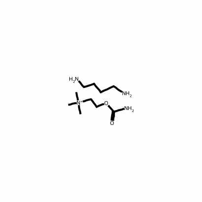 C[N+](C)(C)CCOC(N)=O.NCCCCN